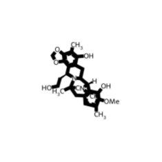 COc1c(C)cc2c(c1O)[C@H]1C3Cc4c(O)c(C)c5c(c4[C@H](CCO)N3C(C)(C2)CN1C)OCO5